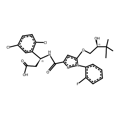 CC(C)(C)[C@H](O)COc1cc(C(=O)N[C@@H](CC(=O)O)c2cc(Cl)ccc2Cl)nn1-c1ccccc1F